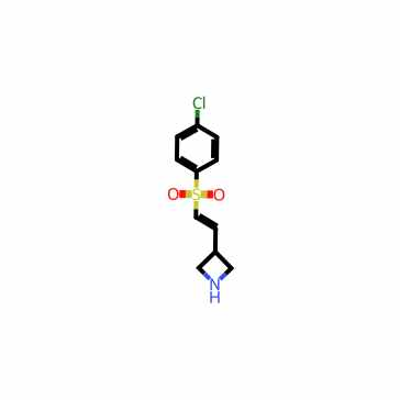 O=S(=O)(C=CC1CNC1)c1ccc(Cl)cc1